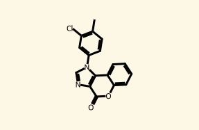 Cc1ccc(-n2cnc3c(=O)oc4ccccc4c32)cc1Cl